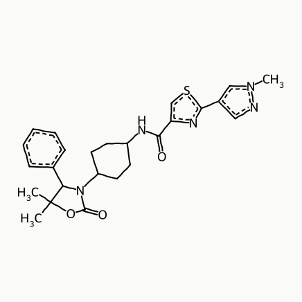 Cn1cc(-c2nc(C(=O)NC3CCC(N4C(=O)OC(C)(C)C4c4ccccc4)CC3)cs2)cn1